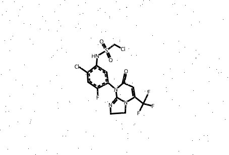 O=C1C=C(C(F)(F)F)N2CCN=C2N1c1cc(NS(=O)(=O)CCl)c(Cl)cc1F